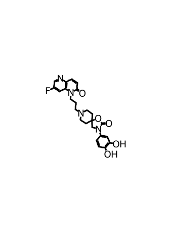 O=C1OC2(CCN(CCCn3c(=O)ccc4ncc(F)cc43)CC2)CN1c1ccc(O)c(O)c1